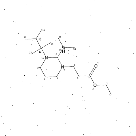 CCOC(=O)CCN1CCCN(C(C)(C)C(C)C)C1[SiH](C)C